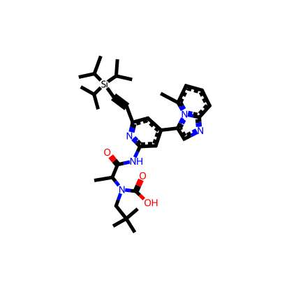 Cc1cccc2ncc(-c3cc(C#C[Si](C(C)C)(C(C)C)C(C)C)nc(NC(=O)C(C)N(CC(C)(C)C)C(=O)O)c3)n12